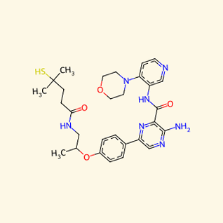 CC(CNC(=O)CCC(C)(C)S)Oc1ccc(-c2cnc(N)c(C(=O)Nc3cnccc3N3CCOCC3)n2)cc1